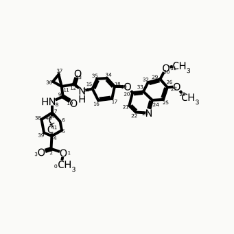 COC(=O)C12CCC(NC(=O)C3(C(=O)Nc4ccc(Oc5ccnc6cc(OC)c(OC)cc56)cc4)CC3)(CC1)CC2